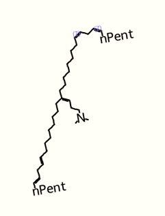 CCCCCC=CCC=CCCCCCCCCC(=CCCN(C)C)CCCCCCCC/C=C\C/C=C\CCCCC